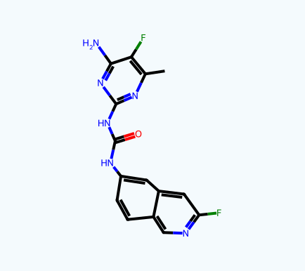 Cc1nc(NC(=O)Nc2ccc3cnc(F)cc3c2)nc(N)c1F